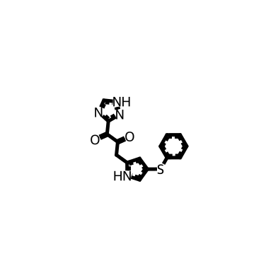 O=C(Cc1cc(Sc2ccccc2)c[nH]1)C(=O)c1nc[nH]n1